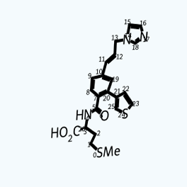 CSCC[C@H](NC(=O)c1ccc(C=CCn2ccnc2)cc1-c1ccsc1)C(=O)O